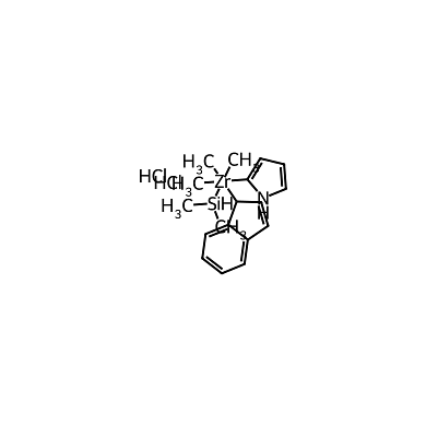 C[SiH](C)[Zr]([CH3])([CH3])([CH3])([c]1ccc[nH]1)[CH]1C=Cc2ccccc21.Cl.Cl